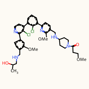 COCCC(=O)N1CCC(NCc2ccc(-c3cccc(-c4ccnc(-c5ccc(CNCC(C)O)c(OC)c5)c4Cl)c3Cl)nc2OC)CC1